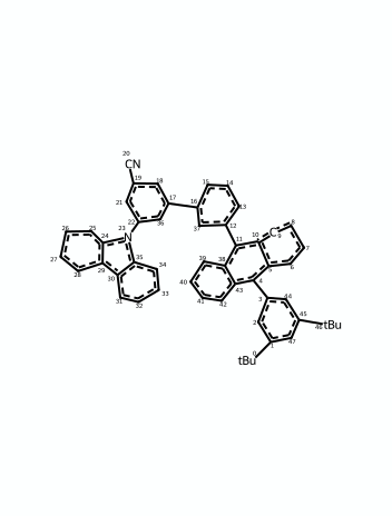 CC(C)(C)c1cc(-c2c3ccccc3c(-c3cccc(-c4cc(C#N)cc(-n5c6ccccc6c6ccccc65)c4)c3)c3ccccc23)cc(C(C)(C)C)c1